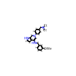 CCN(CC)Cc1ccc(N2C=C(NCc3cccc(OC)c3)c3cc[nH]c3C2)cc1